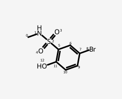 CNS(=O)(=O)c1cc(Br)ccc1O